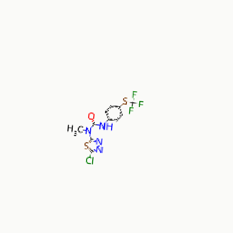 CN(C(=O)Nc1ccc(SC(F)(F)F)cc1)c1nnc(Cl)s1